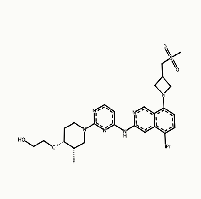 CC(C)c1ccc(N2CC(CS(C)(=O)=O)C2)c2cnc(Nc3ccnc(N4CC[C@@H](OCCO)[C@@H](F)C4)n3)cc12